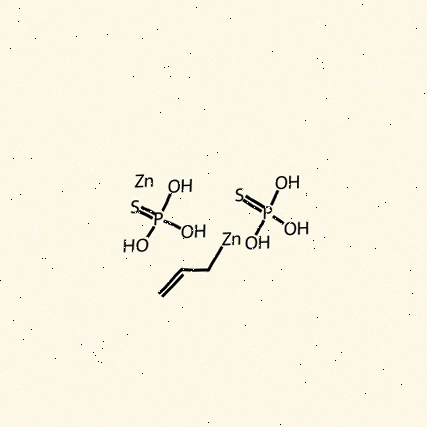 C=C[CH2][Zn].OP(O)(O)=S.OP(O)(O)=S.[Zn]